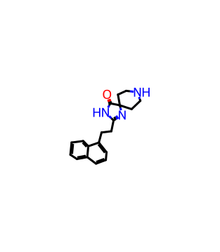 O=C1NC(CCc2cccc3ccccc23)=NC12CCNCC2